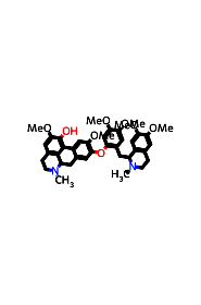 COc1cc(CC2c3cc(OC)c(OC)cc3CCN2C)c(Oc2cc3c(cc2OC)-c2c(O)c(OC)cc4c2C(C3)N(C)CC4)cc1OC